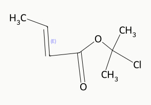 C/C=C/C(=O)OC(C)(C)Cl